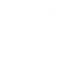 CC1CC=Cc2c1n(C1=C(C#N)C=C(n3c4ccc(-c5ccc6oc7c(c6c5)CCC=C7)cc4c4c5ccccc5ccc43)C(C#N)C1)c1ccc3ccccc3c21